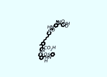 Cc1cc(CCCCC2CCN(CC(=O)Nc3ccc4c(C5CCC(=O)NC5=O)nn(C)c4c3)CC2)ccc1-c1ccc(N2CCc3cccc(C(=O)Nc4nc5ccccc5s4)c3C2)nc1C(=O)O